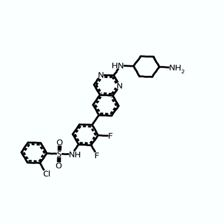 NC1CCC(Nc2ncc3cc(-c4ccc(NS(=O)(=O)c5ccccc5Cl)c(F)c4F)ccc3n2)CC1